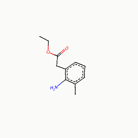 CCOC(=O)Cc1cccc(C)c1N